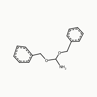 NC(OCc1ccccc1)OCc1ccccc1